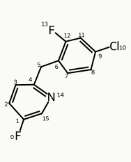 Fc1ccc(Cc2ccc(Cl)cc2F)nc1